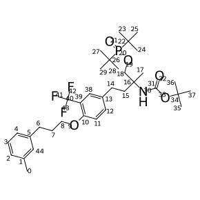 Cc1cccc(CCCOc2ccc(CCC(C)(COP(=O)(C(C)(C)C)C(C)(C)C)NC(=O)OC(C)(C)C)cc2C(F)(F)F)c1